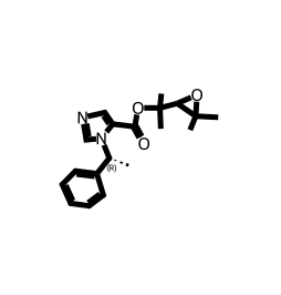 C[C@H](c1ccccc1)n1cncc1C(=O)OC(C)(C)C1OC1(C)C